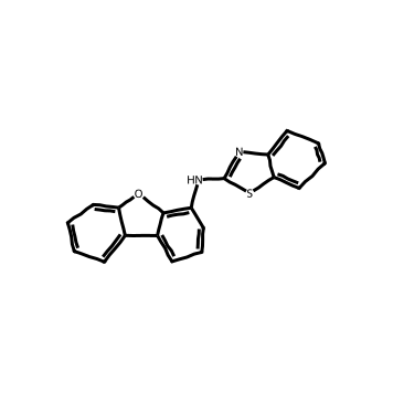 c1ccc2sc(Nc3cccc4c3oc3ccccc34)nc2c1